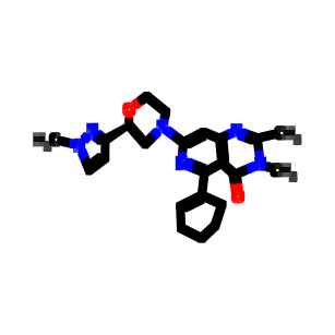 Cc1nc2cc(N3CCO[C@H](c4ccn(C)n4)C3)nc(C3=CCCCC3)c2c(=O)n1C